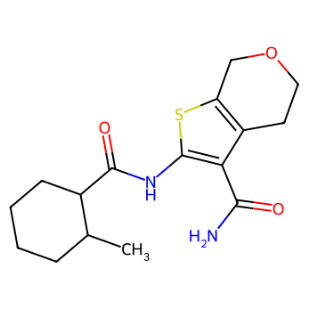 CC1CCCCC1C(=O)Nc1sc2c(c1C(N)=O)CCOC2